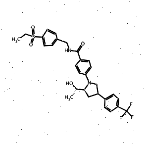 CCS(=O)(=O)c1ccc(CNC(=O)c2ccc(N3CC(c4ccc(C(F)(F)F)cc4)C[C@H]3[C@H](C)O)cc2)cc1